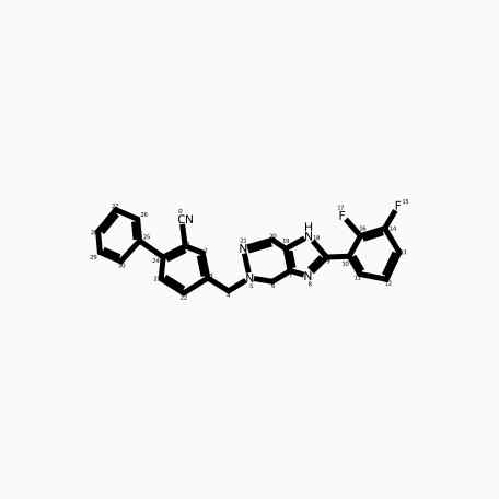 N#Cc1cc(CN2Cc3nc(-c4cccc(F)c4F)[nH]c3C=N2)ccc1-c1ccccc1